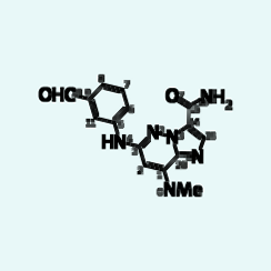 CNc1cc(Nc2cccc(C=O)c2)nn2c(C(N)=O)cnc12